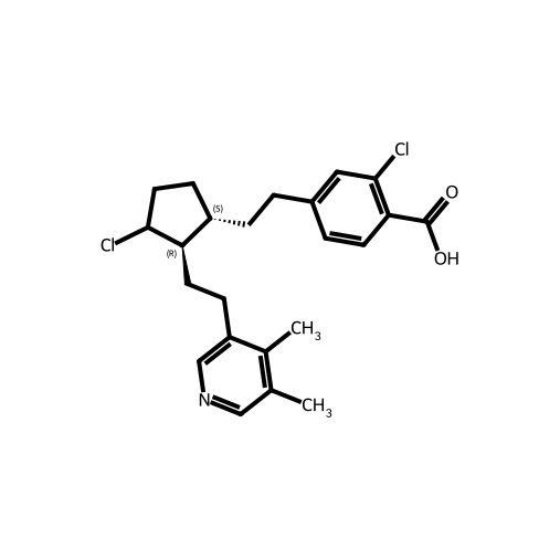 Cc1cncc(CC[C@H]2C(Cl)CC[C@@H]2CCc2ccc(C(=O)O)c(Cl)c2)c1C